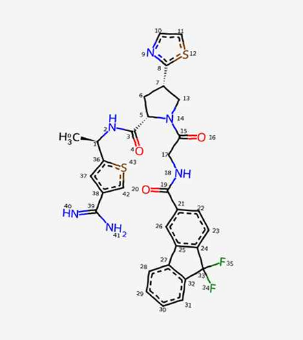 C[C@@H](NC(=O)[C@@H]1C[C@H](c2nccs2)CN1C(=O)CNC(=O)c1ccc2c(c1)-c1ccccc1C2(F)F)c1cc(C(=N)N)cs1